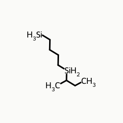 CCC(C)[SiH2]CCCC[SiH3]